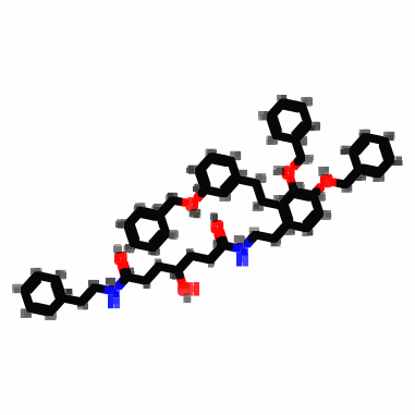 O=C(CCC(O)CCC(=O)NCCc1ccc(OCc2ccccc2)c(OCc2ccccc2)c1CCc1cccc(OCc2ccccc2)c1)NCCc1ccccc1